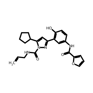 C=CCNC(=O)n1nc(-c2cc(NC(=O)c3ccco3)ccc2O)cc1C1CCCC1